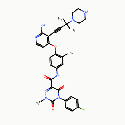 Cc1cc(NC(=O)c2nn(C)c(=O)n(-c3ccc(F)cc3)c2=O)ccc1Oc1ccnc(N)c1C#CC(C)(C)N1CCNCC1